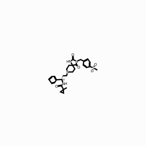 CC1(C(=O)N[C@@H](CCN2CCC3(CC2)NC(=O)N(Cc2ccc(S(C)(=O)=O)cc2)C3=O)c2ccccc2)CC1